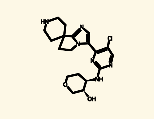 O[C@@H]1COCC[C@H]1Nc1ncc(Cl)c(-c2cnc3n2CCC32CCNCC2)n1